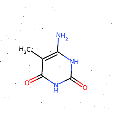 Cc1c(N)[nH]c(=O)[nH]c1=O